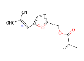 C=C(C)C(=O)OCc1ccc(/C=C(\C#N)C=O)o1